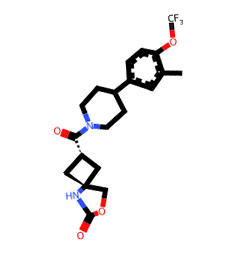 Cc1cc(C2CCN(C(=O)[C@H]3C[C@]4(COC(=O)N4)C3)CC2)ccc1OC(F)(F)F